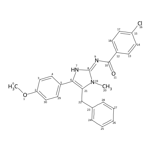 COc1ccc(-c2[nH]/c(=N/C(=O)c3ccc(Cl)cc3)n(C)c2Cc2ccccc2)cc1